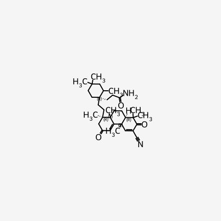 CC1CC(C)(C)CC[C@]1(CCC(N)=O)CC[C@]1(C)CC(=O)C=C2[C@@]3(C)C=C(C#N)C(=O)C(C)(C)[C@@H]3CC[C@]21C